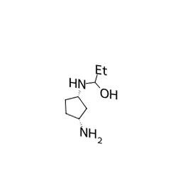 CCC(O)N[C@H]1CC[C@@H](N)C1